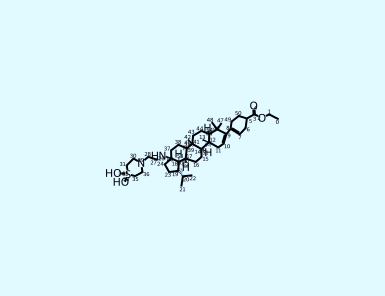 CCOC(=O)C1CC=C(C2=CC[C@]3(C)[C@H]4CC[C@@H]5[C@H]6[C@H](C(C)C)CC[C@]6(NCCN6CCS(O)(O)CC6)CC[C@@]5(C)[C@]4(C)CC[C@H]3C2(C)C)CC1